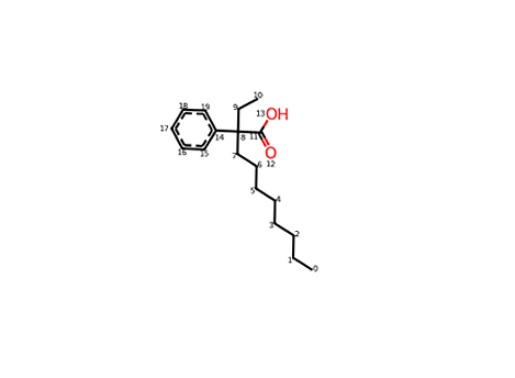 CCCCCCCCC(CC)(C(=O)O)c1ccccc1